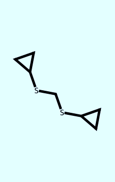 C(SC1CC1)SC1CC1